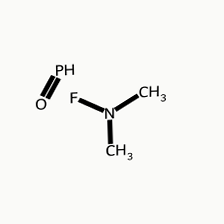 CN(C)F.O=P